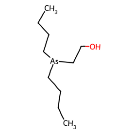 CCCC[As](CCO)CCCC